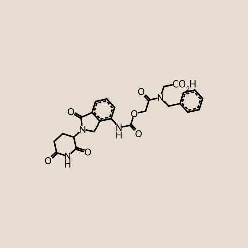 O=C(O)CN(Cc1ccccc1)C(=O)COC(=O)Nc1cccc2c1CN(C1CCC(=O)NC1=O)C2=O